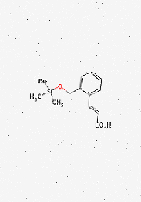 CC(C)(C)[Si](C)(C)OCc1ccccc1C=CC(=O)O